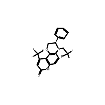 O=c1cc(C(F)(F)F)c2c3c(ccc2[nH]1)N(CC(F)(F)F)[C@H](c1ccccc1)CO3